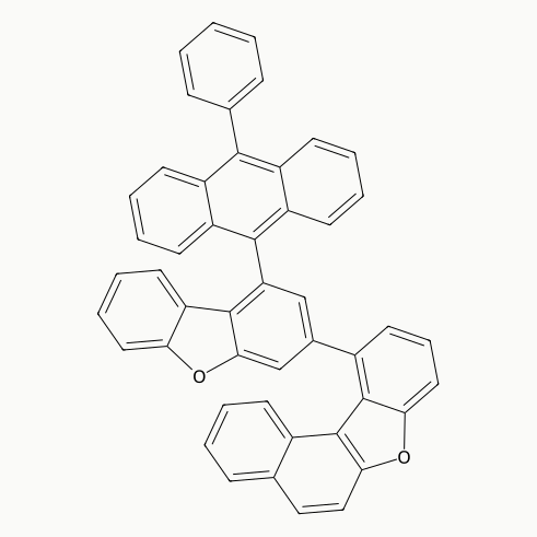 c1ccc(-c2c3ccccc3c(-c3cc(-c4cccc5oc6ccc7ccccc7c6c45)cc4oc5ccccc5c34)c3ccccc23)cc1